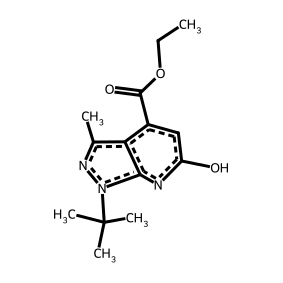 CCOC(=O)c1cc(O)nc2c1c(C)nn2C(C)(C)C